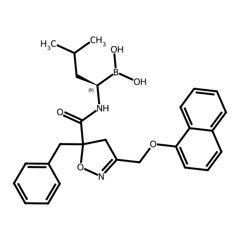 CC(C)C[C@H](NC(=O)C1(Cc2ccccc2)CC(COc2cccc3ccccc23)=NO1)B(O)O